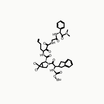 C=CCCC(NC(=O)[C@@H]1C2C(CN1C(=O)C(NC(=O)OC(C)(C)C)C1Cc3ccccc3C1)C2(Cl)Cl)C(=O)C(=O)NCC(=O)N[C@H](C(=O)N(C)C)c1ccccc1